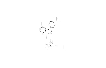 C=CCN1C2CCC(c3cc(F)ccc3F)(S(=O)(=O)c3ccc(C(F)(F)F)cc3)CC2CCS1(=O)=O